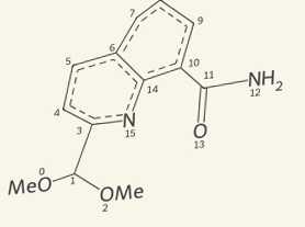 COC(OC)c1ccc2cccc(C(N)=O)c2n1